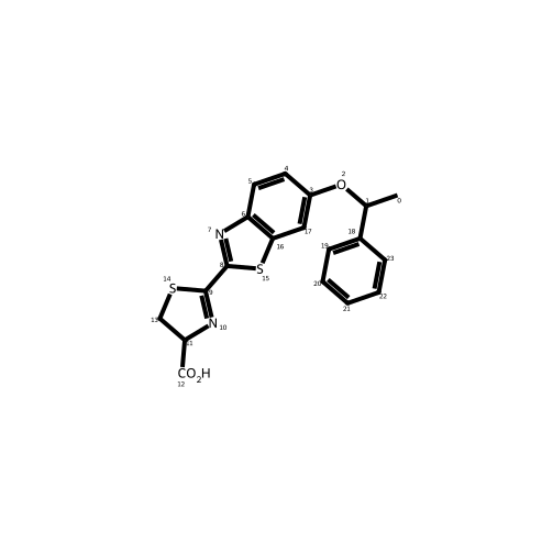 CC(Oc1ccc2nc(C3=NC(C(=O)O)CS3)sc2c1)c1ccccc1